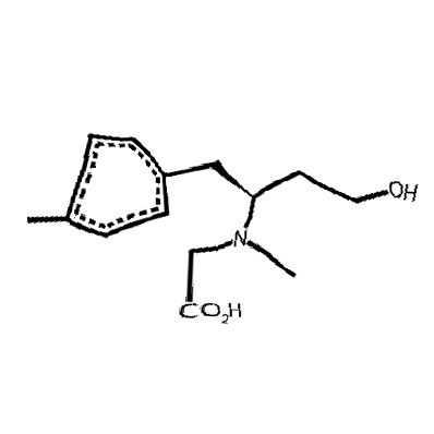 Cc1ccc(C[C@@H](CCO)N(C)CC(=O)O)cc1